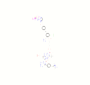 Cc1ncsc1-c1ccc([C@H](CN(C)C)NC(=O)[C@@H]2C[C@@H](O)CN2C(=O)[C@@H](NC(=O)COCCCCCOc2c(Cl)cc(C(C)(C)c3ccc(OCc4ccnc(NS(C)(=O)=O)n4)cc3)cc2C#N)C(C)(C)C)cc1